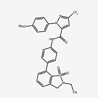 COc1ccc(-n2nc(C(F)(F)F)cc2C(=O)Nc2ccc(-c3cccc4c3S(=O)(=O)N(CC#N)C4)cc2)cc1